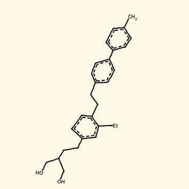 CCc1cc(CCC(CO)CO)ccc1CCc1ccc(-c2ccc(C)cc2)cc1